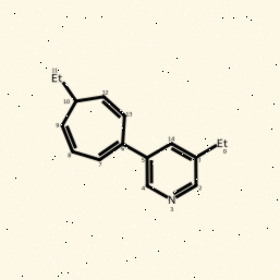 CCc1cncc(C2=CC=CC(CC)C=C2)c1